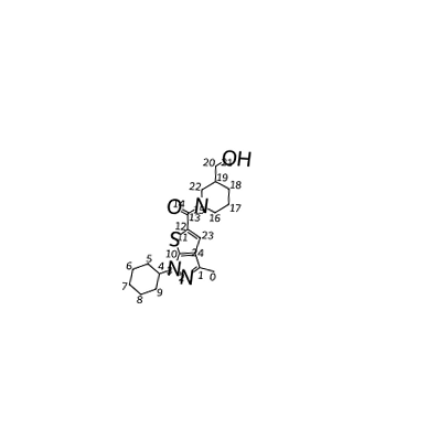 Cc1nn(C2CCCCC2)c2sc(C(=O)N3CCCC(CO)C3)cc12